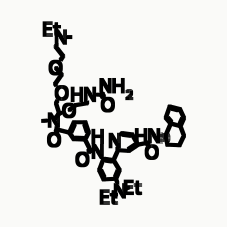 CCN(C)CCOCCOCC(OCCNC(N)=O)N(C)C(=O)c1cccc(C(=O)Nc2ccc(N(CC)CC)cc2-c2cc(C(=O)N[C@H]3CCCc4ccccc43)ccn2)c1